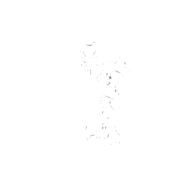 C1=CCC(N(c2ccccc2)c2ccc3c(c2)sc2cc(N(c4ccccc4)c4ccc5oc6ccccc6c5c4)ccc23)C=C1